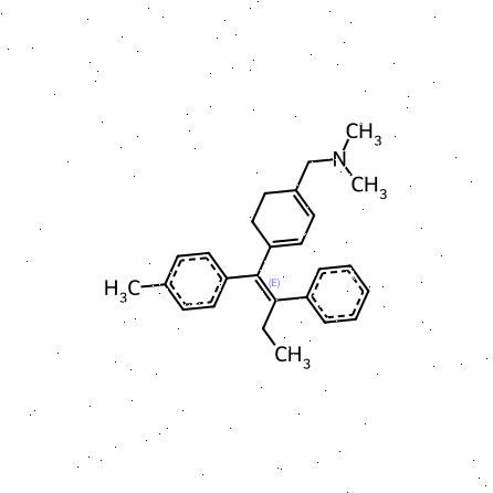 CC/C(=C(/C1=CC=C(CN(C)C)CC1)c1ccc(C)cc1)c1ccccc1